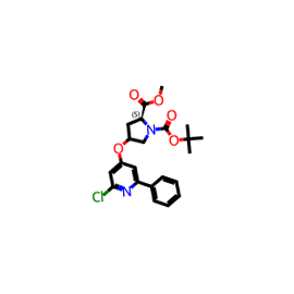 COC(=O)[C@@H]1CC(Oc2cc(Cl)nc(-c3ccccc3)c2)CN1C(=O)OC(C)(C)C